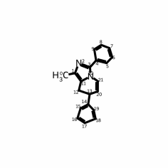 Cc1nc(-c2ccccc2)n2c1CC(c1ccccc1)C=C2